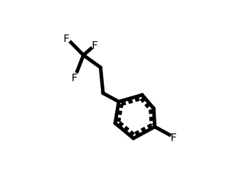 Fc1ccc(CCC(F)(F)F)cc1